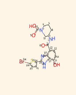 O=C(NC1CCCN(C(=O)O)C1)c1ccc(O)c2[nH]c(-c3ccc(Br)s3)nc12